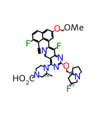 C#Cc1c(F)ccc2cc(OCOC)cc(-c3ncc4c(N5CCN(C(=O)O)C[C@@H]5C)nc(OC[C@@]56CCCN5C[C@H](F)C6)nc4c3F)c12